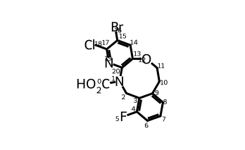 O=C(O)N1Cc2c(F)cccc2CCOc2cc(Br)c(Cl)nc21